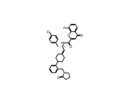 O=C(N[C@H](C=C1CCC(c2ccccc2CN2CCCC2=O)CC1)Cc1ccc(Cl)cc1)c1cc(=O)c2cccc(F)c2o1